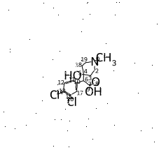 CN1CCC(O)(C(C(=O)O)c2ccc(Cl)c(Cl)c2)CC1